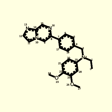 CCN(Cc1ccc(-c2cn3ccnc3cn2)cc1)c1ccc(OC)c(OC)c1